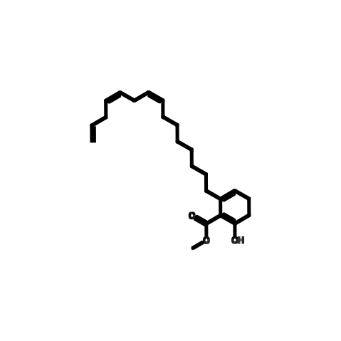 C=CC/C=C\C/C=C\CCCCCCCC1=CCCC(O)=C1C(=O)OC